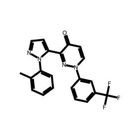 Cc1ccccc1-n1nccc1-c1nn(-c2cccc(C(F)(F)F)c2)ccc1=O